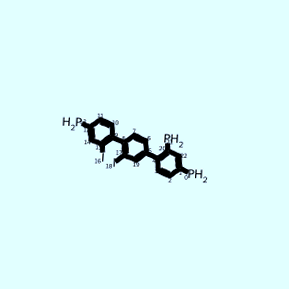 Pc1ccc(-c2ccc(-c3ccc(P)cc3I)c(I)c2)c(P)c1